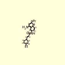 CCCc1cc(N)c2cc(NC(=O)C=CC3CCC(CC)CC3)ccc2n1